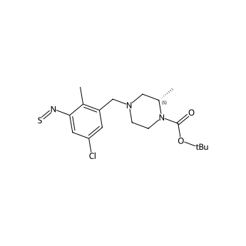 Cc1c(CN2CCN(C(=O)OC(C)(C)C)[C@@H](C)C2)cc(Cl)cc1N=S